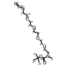 CN(CCOCCOCCOCCOCCN=[N+]=[N-])C(=O)OC(C)(C)C